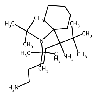 CC(C)(C)N(C(C)(C)C)C1(C(N)(CCCCN)C(C)(C)C)CCCCC1